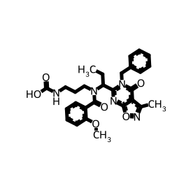 CCC(c1nc2onc(C)c2c(=O)n1Cc1ccccc1)N(CCCNC(=O)O)C(=O)c1ccccc1OC